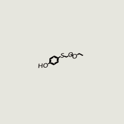 CCOOCSc1ccc(O)cc1